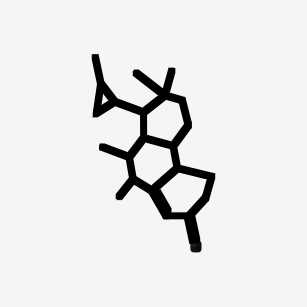 CC1CC1C1C2C(C)C(C)C3=CC(=O)CCC3C2CCC1(C)C